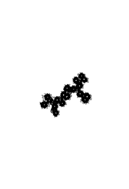 c1ccc(-c2nc(-n3c4cc5oc6ccccc6c5cc4c4c5c6ccccc6n(-c6ccc(-c7cccc8c7oc7cc9c(cc78)c7c8c%10ccccc%10n(-c%10cccc%11ccccc%10%11)c8ccc7n9-c7ccc8c(c7)-c7cccc9cccc-8c79)c7ccccc67)c5ccc43)nc3ccccc23)cc1